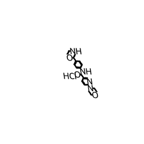 Cl.O=C(Nc1ccc(C2CNCCO2)cc1)c1ccc(N2CCOCC2)nc1